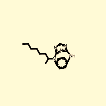 CCCCCCC(C)N1c2ccc(cc2)Nc2ncnc1n2